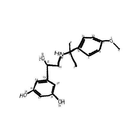 COc1ccc(C(C)(C)NCC(O)c2cc(O)cc(O)c2)cc1